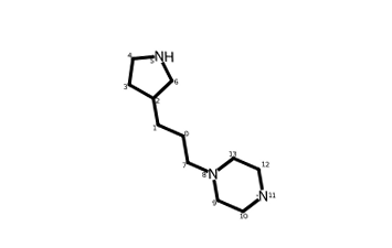 C(CC1CCNC1)CN1CC[N]CC1